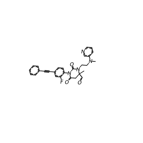 CN(CCN1C(=O)N(c2ccc(C#Cc3ccccc3)cc2F)C(=O)CC1(C)C=O)c1cccnc1